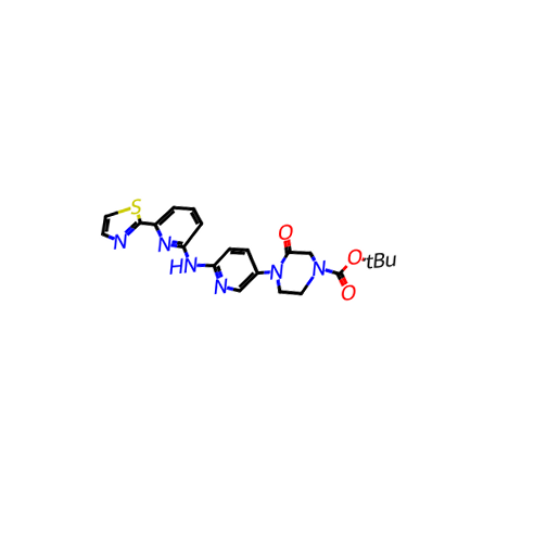 CC(C)(C)OC(=O)N1CCN(c2ccc(Nc3cccc(-c4nccs4)n3)nc2)C(=O)C1